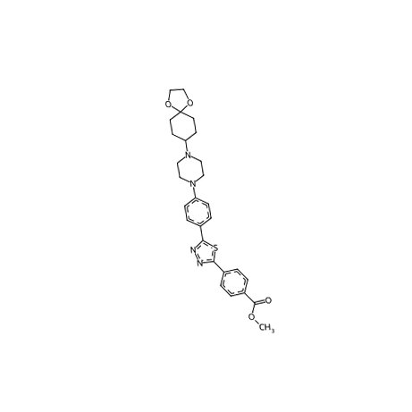 COC(=O)c1ccc(-c2nnc(-c3ccc(N4CCN(C5CCC6(CC5)OCCO6)CC4)cc3)s2)cc1